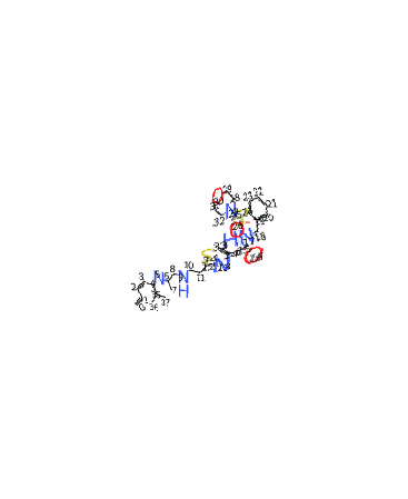 C=C/C=C\C(/N=C(\C)CNCCc1nc(C(=O)NCc2ccccc2[S+]([O-])N2CCOCC2)cs1)=C(C)C